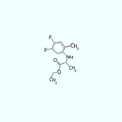 CCOC(=O)C(C)Nc1cc(F)c(F)cc1C